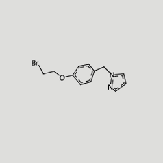 BrCCOc1ccc(Cn2cccn2)cc1